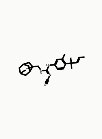 C/C=C/C(C)(C)c1ccc(N/C(=N/C#N)NCC23CC4CC(CC2C4)C3)cc1C